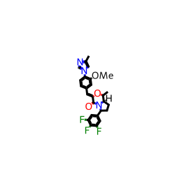 COc1cc(C=C2OC(C)[C@H]3CCC(c4cc(F)c(F)c(F)c4)N3C2=O)ccc1-n1cnc(C)c1